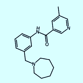 Cc1cncc(C(=O)Nc2cccc(CN3CCCCCC3)c2)c1